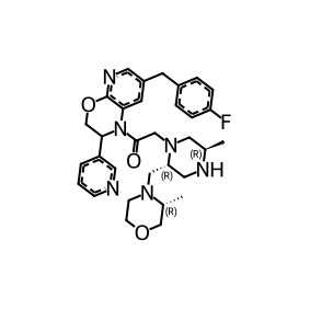 C[C@@H]1CN(CC(=O)N2c3cc(Cc4ccc(F)cc4)cnc3OCC2c2cccnc2)[C@@H](CN2CCOC[C@H]2C)CN1